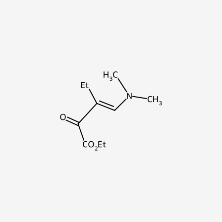 CCOC(=O)C(=O)C(=CN(C)C)CC